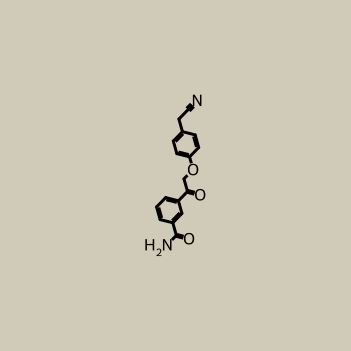 N#CCc1ccc(OCC(=O)c2cccc(C(N)=O)c2)cc1